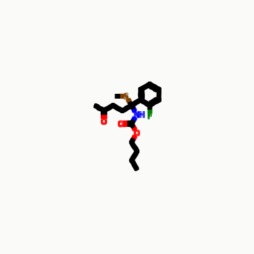 CCCCOC(=O)NC(CCC(C)=O)(SC)c1ccccc1F